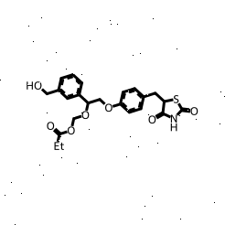 CCC(=O)OCOC(COc1ccc(CC2SC(=O)NC2=O)cc1)c1cccc(CO)c1